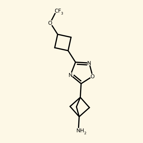 NC12CC(c3nc(C4CC(OC(F)(F)F)C4)no3)(C1)C2